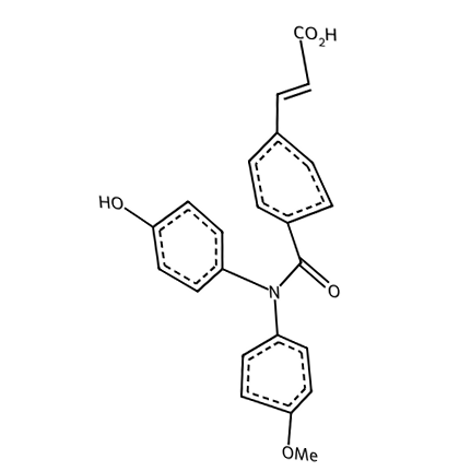 COc1ccc(N(C(=O)c2ccc(C=CC(=O)O)cc2)c2ccc(O)cc2)cc1